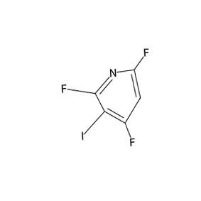 Fc1cc(F)c(I)c(F)n1